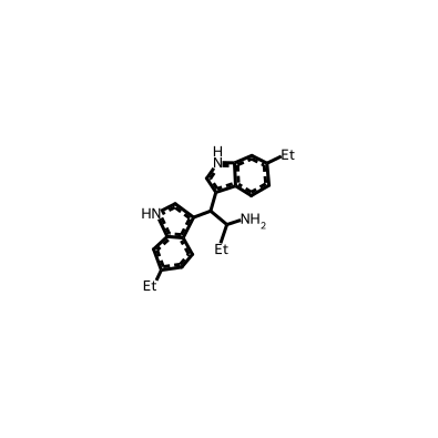 CCc1ccc2c(C(c3c[nH]c4cc(CC)ccc34)C(N)CC)c[nH]c2c1